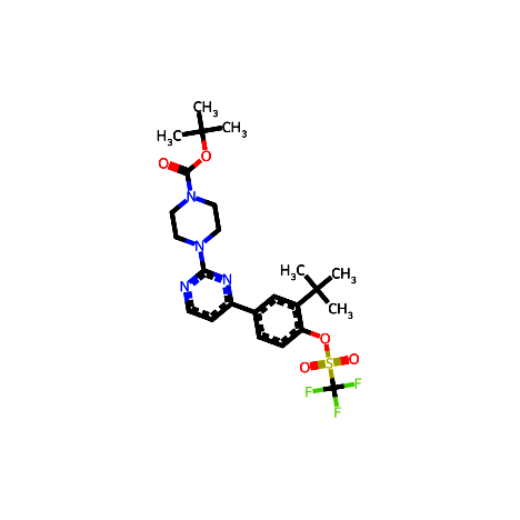 CC(C)(C)OC(=O)N1CCN(c2nccc(-c3ccc(OS(=O)(=O)C(F)(F)F)c(C(C)(C)C)c3)n2)CC1